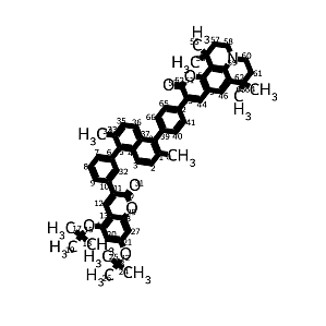 Cc1ccc2c(-c3cccc(-c4cc5c(OC(C)(C)C)cc(OC(C)(C)C)cc5oc4=O)c3)c(C)ccc2c1-c1ccc(-c2cc3cc4c5c(c3oc2=O)C(C)(C)CCN5CCC4(C)C)cc1